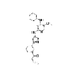 C=CC(=O)N1CCCC(n2cc(Nc3ncc(C)c(NC4CCCCC4)n3)cn2)C1